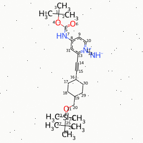 CC(C)(C)OC(=O)Nc1cc[n+]([NH-])c(C#CC2CCC(CO[Si](C)(C)C(C)(C)C)CC2)c1